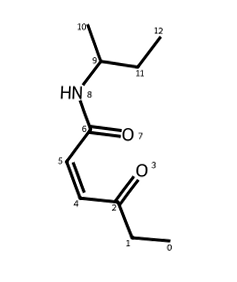 CCC(=O)/C=C\C(=O)NC(C)CC